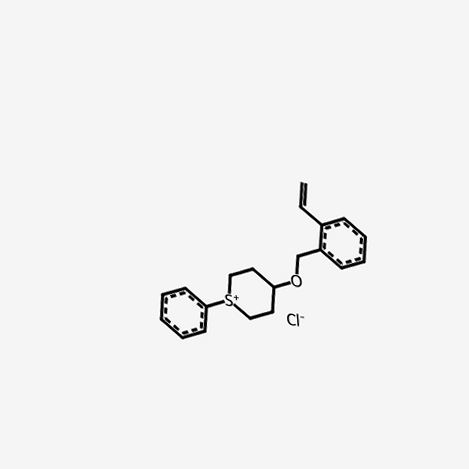 C=Cc1ccccc1COC1CC[S+](c2ccccc2)CC1.[Cl-]